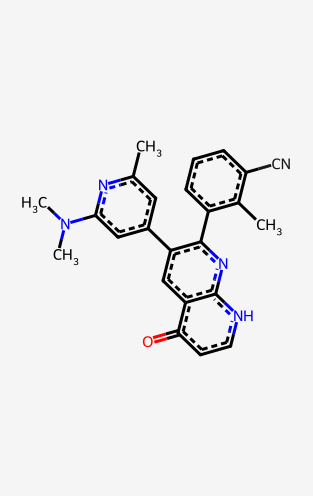 Cc1cc(-c2cc3c(=O)cc[nH]c3nc2-c2cccc(C#N)c2C)cc(N(C)C)n1